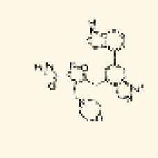 NC(=O)c1noc(Cc2cc(-c3cccc4[nH]ccc34)cc3[nH]ncc23)c1CN1CCOCC1